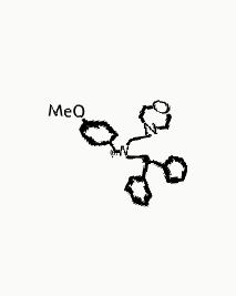 COc1ccc([C@@H](C)N(CC=C(c2ccccc2)c2ccccc2)CCN2CCOCC2)cc1